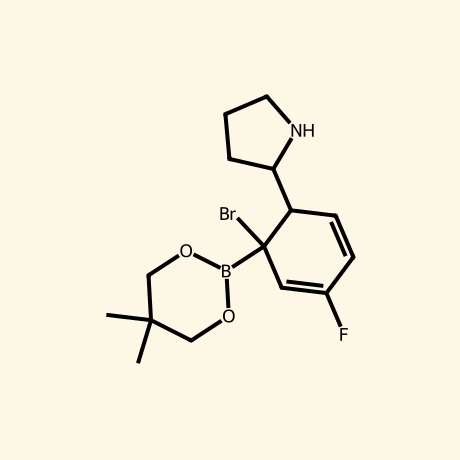 CC1(C)COB(C2(Br)C=C(F)C=CC2C2CCCN2)OC1